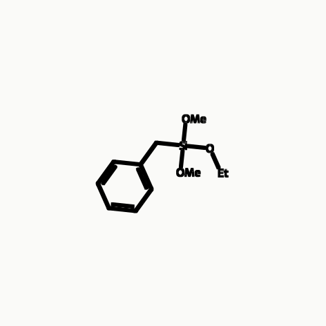 CCO[Si](Cc1ccccc1)(OC)OC